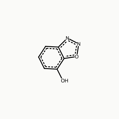 Oc1cccc2nnoc12